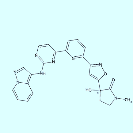 CN1CC[C@@](O)(c2cc(-c3cccc(-c4ccnc(Nc5cnn6ccccc56)n4)n3)no2)C1=O